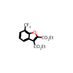 CCOC(=O)c1oc2c(C(F)(F)F)cccc2c1C(=O)OCC